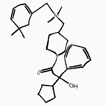 CC1(C)C=CC=C(C[N+](C)(C)CC2CCN(C(=O)C(O)(c3ccccc3)C3CCCC3)CC2)C1